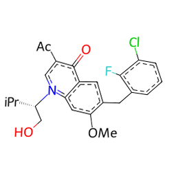 COc1cc2c(cc1Cc1cccc(Cl)c1F)c(=O)c(C(C)=O)cn2[C@H](CO)C(C)C